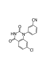 N#Cc1cccc(-n2c(=O)[nH]c(=O)c3ccc(Cl)cc32)c1